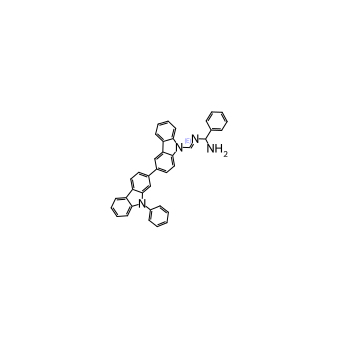 NC(/N=C/n1c2ccccc2c2cc(-c3ccc4c5ccccc5n(-c5ccccc5)c4c3)ccc21)c1ccccc1